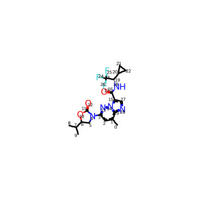 Cc1cc(N2CC(C(C)C)OC2=O)nn2c(C(=O)N[C@@H](C3CC3)C(F)(F)F)cnc12